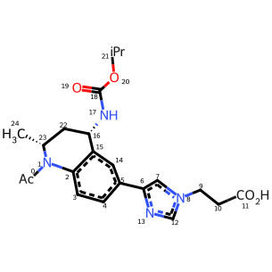 CC(=O)N1c2ccc(-c3cn(CCC(=O)O)cn3)cc2[C@@H](NC(=O)OC(C)C)C[C@H]1C